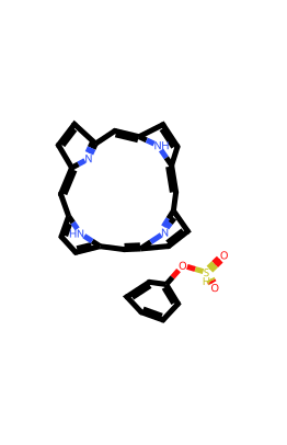 C1=Cc2cc3ccc(cc4nc(cc5ccc(cc1n2)[nH]5)C=C4)[nH]3.O=[SH](=O)Oc1ccccc1